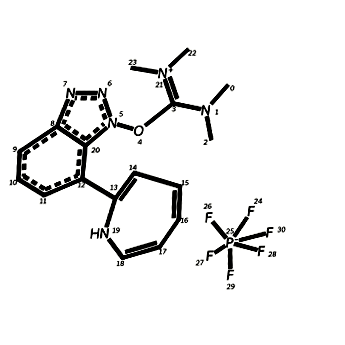 CN(C)C(On1nnc2cccc(C3=CC=CC=CN3)c21)=[N+](C)C.F[P-](F)(F)(F)(F)F